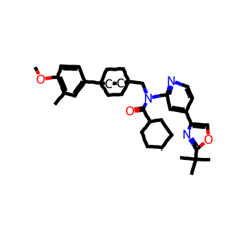 COc1ccc(C23CCC(CN(C(=O)C4CC[CH]CC4)c4cc(-c5coc(C(C)(C)C)n5)ccn4)(CC2)CC3)cc1C